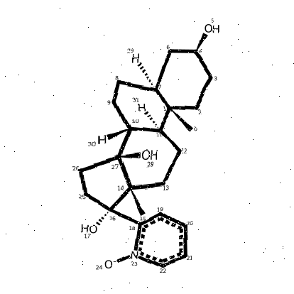 C[C@]12CC[C@H](O)C[C@@H]1CC[C@@H]1[C@@H]2CC[C@]2(C)[C@@](O)(c3cccc[n+]3[O-])CC[C@]12O